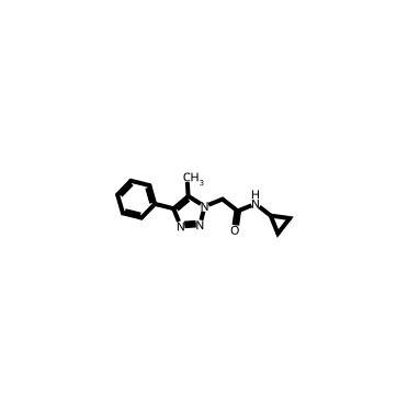 Cc1c(-c2ccccc2)nnn1CC(=O)NC1CC1